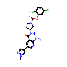 Cn1cc(-c2cnc(N)c(C(=O)N[C@@H]3CCN(C(=O)Oc4cc(Cl)ccc4Cl)C3)c2)cn1